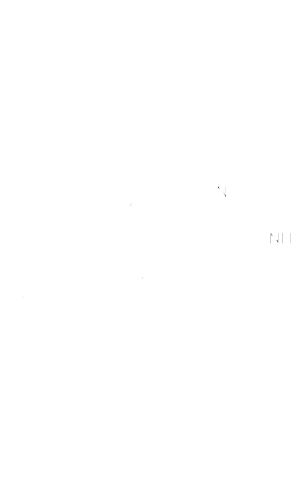 [c]1nc(-c2cc3ccccc3s2)c[nH]1